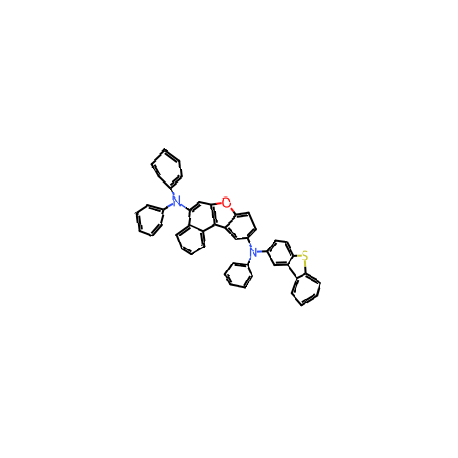 c1ccc(N(c2ccc3sc4ccccc4c3c2)c2ccc3oc4cc(N(c5ccccc5)c5ccccc5)c5ccccc5c4c3c2)cc1